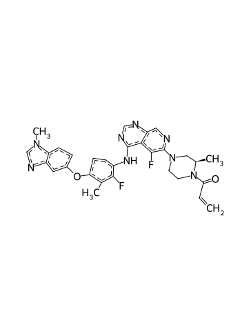 C=CC(=O)N1CCN(c2ncc3ncnc(Nc4ccc(Oc5ccc6c(c5)ncn6C)c(C)c4F)c3c2F)C[C@H]1C